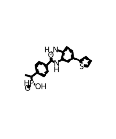 CC(c1ccc(C(=O)Nc2cc(-c3cccs3)ccc2N)cc1)[PH](=O)O